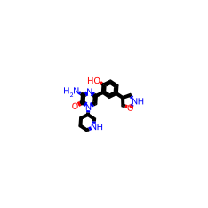 Nc1nc(-c2cc(C3CNOC3)ccc2O)cn(C2CCCNC2)c1=O